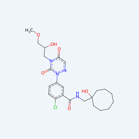 COCC(O)Cn1c(=O)cnn(-c2ccc(Cl)c(C(=O)NCC3(O)CCCCCCC3)c2)c1=O